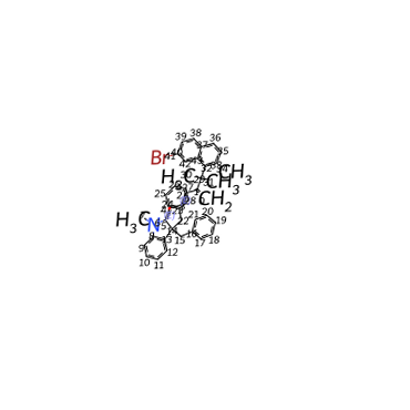 C=C(/C=C/C=C1/N(C)c2ccccc2C1(Cc1ccccc1)Cc1ccccc1)C(C)(C)c1c(C)ccc2ccc(Br)cc12